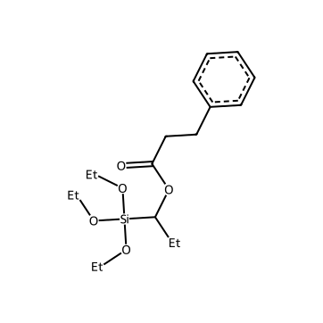 CCO[Si](OCC)(OCC)C(CC)OC(=O)CCc1ccccc1